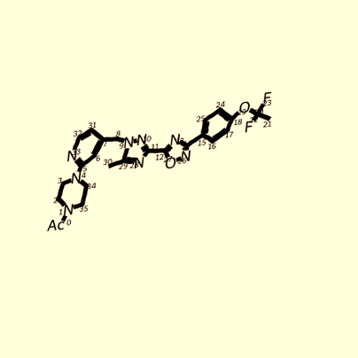 CC(=O)N1CCN(c2cc(Cn3nc(-c4nc(-c5ccc(OC(C)(F)F)cc5)no4)nc3C)ccn2)CC1